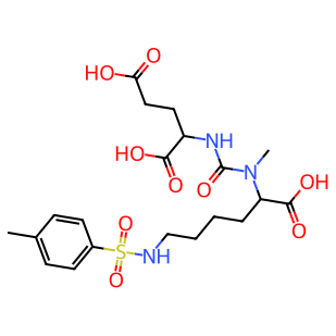 Cc1ccc(S(=O)(=O)NCCCCC(C(=O)O)N(C)C(=O)NC(CCC(=O)O)C(=O)O)cc1